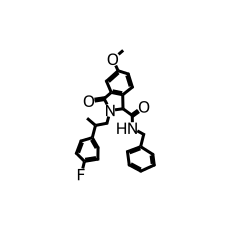 COc1ccc2c(c1)C(=O)N(CC(C)c1ccc(F)cc1)C2C(=O)NCc1ccccc1